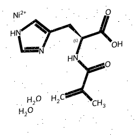 C=C(C)C(=O)N[C@@H](Cc1c[nH]cn1)C(=O)O.O.O.[Ni+2]